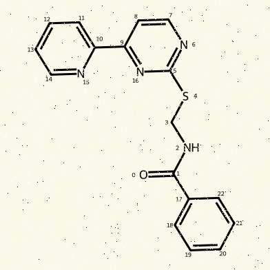 O=C(NCSc1nccc(-c2ccccn2)n1)c1ccccc1